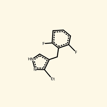 [CH2]Cc1n[nH]cc1Cc1c(F)cccc1F